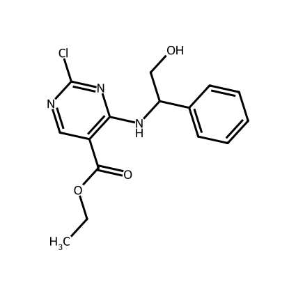 CCOC(=O)c1cnc(Cl)nc1NC(CO)c1ccccc1